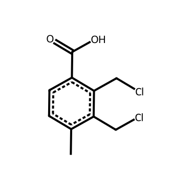 Cc1ccc(C(=O)O)c(CCl)c1CCl